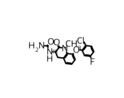 CN1C(=O)[C@H](NC(N)=O)Cc2cccc(Oc3cc(F)ccc3Cl)c21